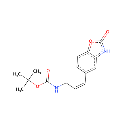 CC(C)(C)OC(=O)NC/C=C\c1ccc2oc(=O)[nH]c2c1